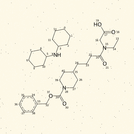 C1CCC(NC2CCCCC2)CC1.CCN(CC(=O)O)C(=O)CCCC1CCN(C(=O)OCc2ccccc2)CC1